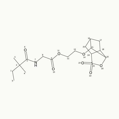 CCC(C)(C)C(=O)NCC(=O)OCCOC1C2CC3C1OS(=O)(=O)C3C2